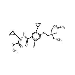 C=CCC(CC)(CC)COc1cc(F)c(C(=O)N[C@H](C(=O)OC)C2CC2)cc1C1CC1